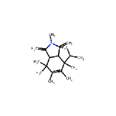 C=C1C2C(C(=C)N1C)C(C)(C(C)C)C(C)=C(C)C2(C)C